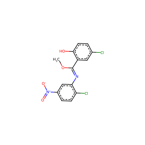 CO/C(=N\c1cc([N+](=O)[O-])ccc1Cl)c1cc(Cl)ccc1O